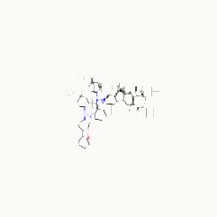 CC(C)(C)c1ccc(N2B3c4cc(C(C)(C)C)ccc4-n4c5ccc6c7ccccc7oc6c5c5ccc(c3c54)-c3cc4c(cc32)C(C)(C)c2cc3c(cc2-4)C(C)(C)CCC3(C)C)cc1